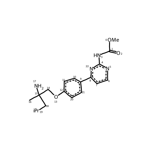 COC(=O)Nc1nccc(-c2ccc(OCC(C)(N)CC(C)C)cc2)n1